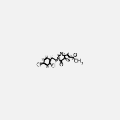 CC(=O)c1cc2ncn(CCc3ccc(Cl)cc3Cl)c(=O)c2s1